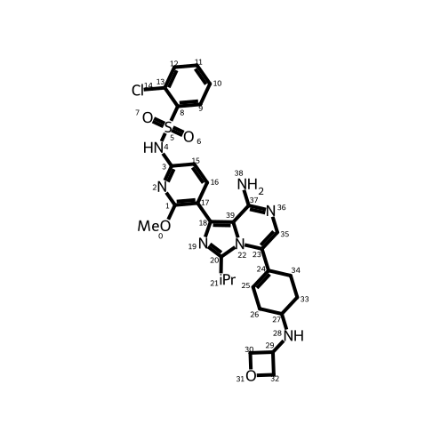 COc1nc(NS(=O)(=O)c2ccccc2Cl)ccc1-c1nc(C(C)C)n2c(C3=CCC(NC4COC4)CC3)cnc(N)c12